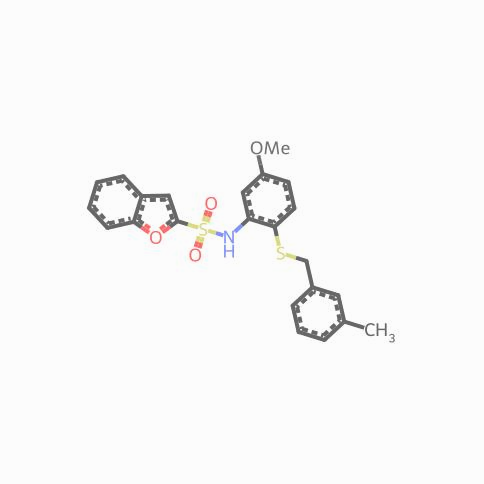 COc1ccc(SCc2cccc(C)c2)c(NS(=O)(=O)c2cc3ccccc3o2)c1